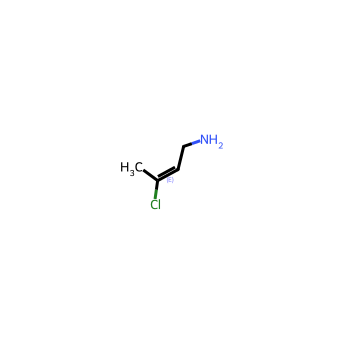 C/C(Cl)=C\CN